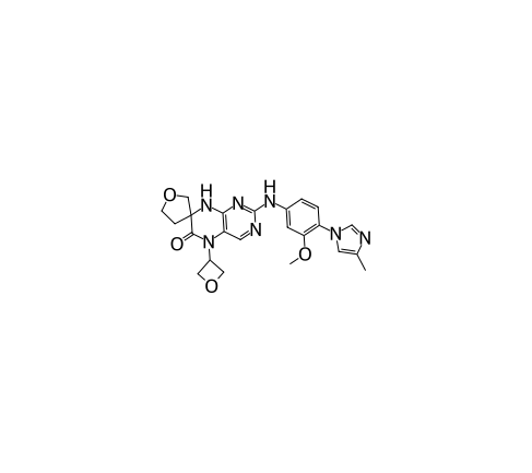 COc1cc(Nc2ncc3c(n2)NC2(CCOC2)C(=O)N3C2COC2)ccc1-n1cnc(C)c1